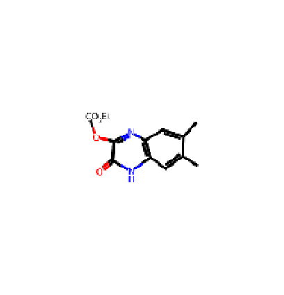 CCOC(=O)Oc1nc2cc(C)c(C)cc2[nH]c1=O